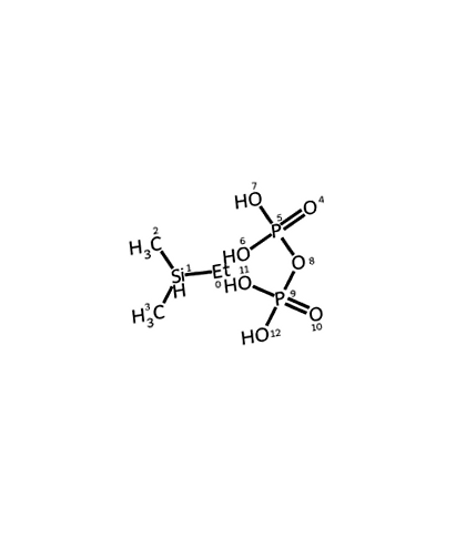 CC[SiH](C)C.O=P(O)(O)OP(=O)(O)O